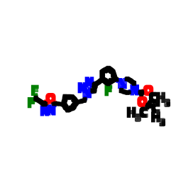 CC(C)(C)OC(=O)N1CCN(c2cccc(-c3cn(Cc4ccc(-c5nnc(C(F)F)o5)cc4)nn3)c2F)CC1